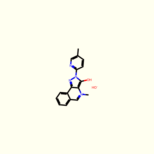 Cc1ccc(-n2nc3c4ccccc4c[n+](C)c3c2O)nc1.[OH-]